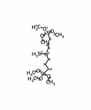 CO[Si](CCCN([SiH2])CCC[Si](OC)(OC)OC)(OC)OC